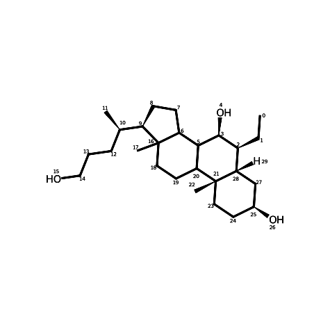 CC[C@@H]1[C@H](O)C2C3CC[C@H]([C@H](C)CCCO)C3(C)CCC2[C@@]2(C)CC[C@H](O)C[C@@H]12